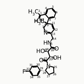 C=C(C)c1ccccc1C1(C)C=CC(CNC(=O)[C@H](O)[C@@H](O)C(=O)N2CCC[C@@H]2c2ccc(F)cc2)=NC1